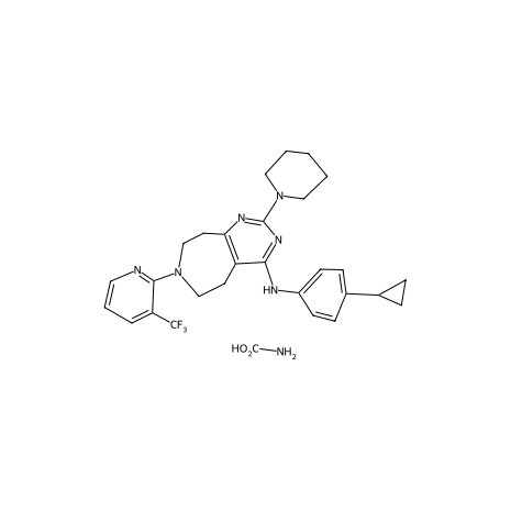 FC(F)(F)c1cccnc1N1CCc2nc(N3CCCCC3)nc(Nc3ccc(C4CC4)cc3)c2CC1.NC(=O)O